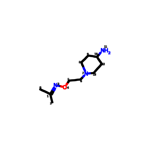 CC(C)=NOCCN1CCC(N)CC1